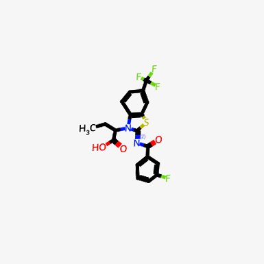 CCC(C(=O)O)n1/c(=N/C(=O)c2cccc(F)c2)sc2cc(C(F)(F)F)ccc21